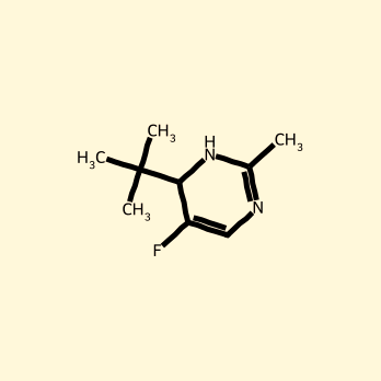 CC1=NC=C(F)C(C(C)(C)C)N1